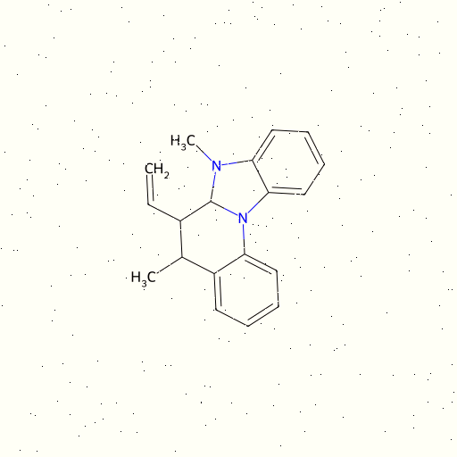 C=CC1C(C)c2ccccc2N2c3ccccc3N(C)C12